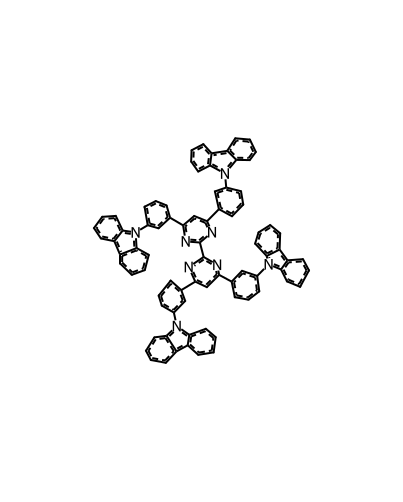 c1cc(-c2cc(-c3cccc(-n4c5ccccc5c5ccccc54)c3)nc(-c3nc(-c4cccc(-n5c6ccccc6c6ccccc65)c4)cc(-c4cccc(-n5c6ccccc6c6ccccc65)c4)n3)n2)cc(-n2c3ccccc3c3ccccc32)c1